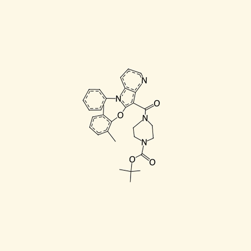 Cc1cccc(C)c1Oc1c(C(=O)N2CCN(C(=O)OC(C)(C)C)CC2)c2ncccc2n1-c1ccccc1